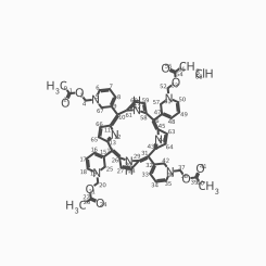 CC(=O)OCN1C=CC=C(c2c3nc(c(C4=CC=CN(COC(C)=O)C4)c4ccc([nH]4)c(C4=CC=CN(COC(C)=O)C4)c4nc(c(C5=CC=CN(COC(C)=O)C5)c5ccc2[nH]5)C=C4)C=C3)C1.Cl